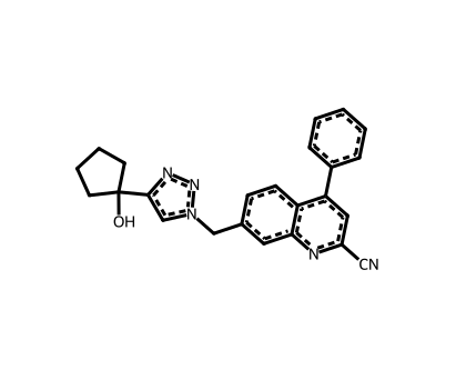 N#Cc1cc(-c2ccccc2)c2ccc(Cn3cc(C4(O)CCCC4)nn3)cc2n1